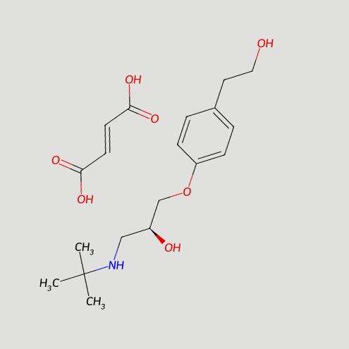 CC(C)(C)NC[C@H](O)COc1ccc(CCO)cc1.O=C(O)C=CC(=O)O